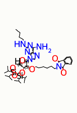 CCCCNc1nc(N)c2ncn([C@@H]3O[C@@H]4CO[Si](C(C)C)(C(C)C)O[Si](C(C)C)(C(C)C)OC4[C@@H]3OCCCCCCN3C(=O)c4ccccc4C3=O)c2n1